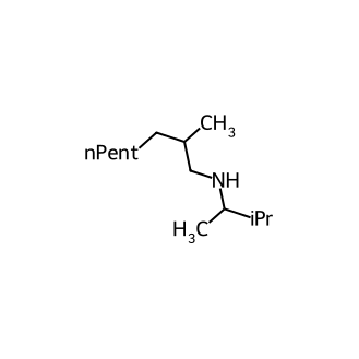 CCCCCCC(C)CNC(C)C(C)C